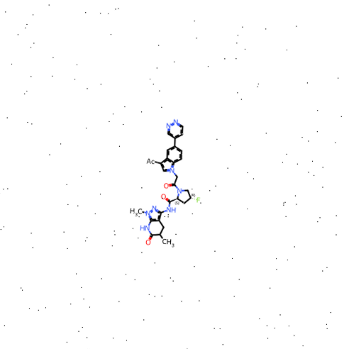 CC(=O)c1cn(CC(=O)N2C[C@H](F)C[C@H]2C(=O)Nc2nn(C)c3c2CC(C)C(=O)N3)c2ccc(-c3ccnnc3)cc12